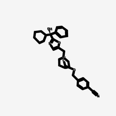 N#Cc1ccc(COC2C[N+]3(Cc4cnc([C@](O)(c5ccccc5)C5CCCCC5)o4)CCC2CC3)cc1